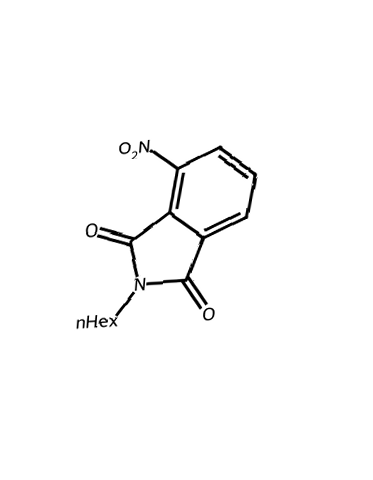 CCCCCCN1C(=O)c2cccc([N+](=O)[O-])c2C1=O